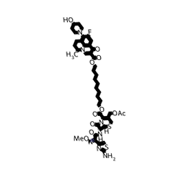 CO/N=C(\C(=O)N[C@@H]1C(=O)N2C(C(=O)OCCCCCCCCCCOC(=O)c3cn4c5c(c(N6CCC(O)CC6)c(F)cc5c3=O)CCC4C)=C(COC(C)=O)CS[C@H]12)c1csc(N)n1